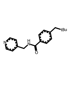 CC(C)(C)Cc1ccc(C(=O)NCc2ccncc2)cc1